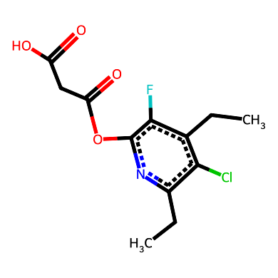 CCc1nc(OC(=O)CC(=O)O)c(F)c(CC)c1Cl